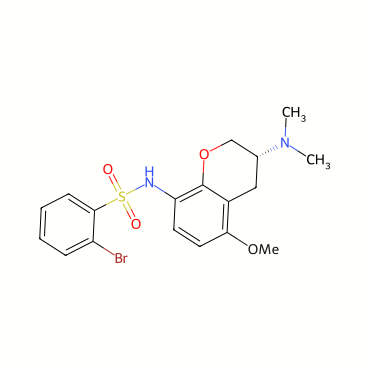 COc1ccc(NS(=O)(=O)c2ccccc2Br)c2c1C[C@@H](N(C)C)CO2